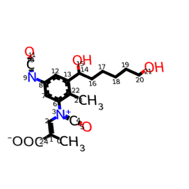 CC(=C[N+](=C=O)c1cc(N=C=O)cc(C(O)CCCCCO)c1C)C(=O)[O-]